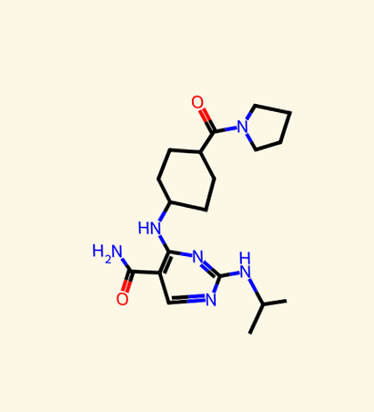 CC(C)Nc1ncc(C(N)=O)c(NC2CCC(C(=O)N3CCCC3)CC2)n1